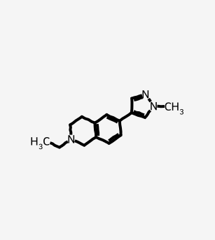 CCN1CCc2cc(-c3cnn(C)c3)ccc2C1